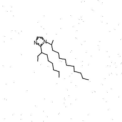 CCCCCCCCCCC(C)n1ccnc1C(CC)CCCCCC